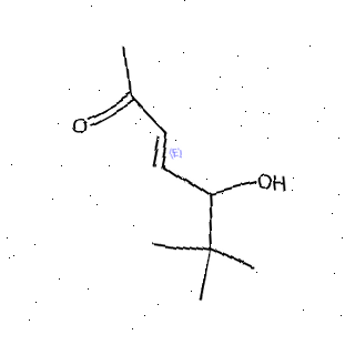 CC(=O)/C=C/C(O)C(C)(C)C